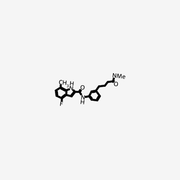 CNC(=O)CCCc1cccc(NC(=O)c2cc3c(F)ccc(C)c3[nH]2)c1